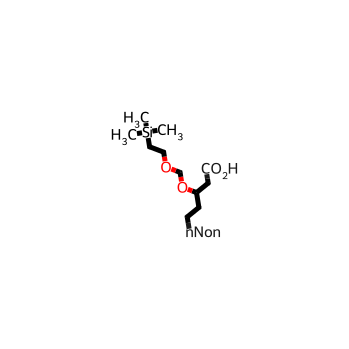 CCCCCCCCCCCC(CC(=O)O)OCOCC[Si](C)(C)C